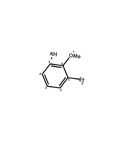 C[CH]c1ccccc1OC.[KH]